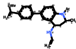 C=CN[C@@H]1C[C@H](C)N(C(C)=O)c2ccc(-c3ccc(C(=C)OC)cc3)cc21